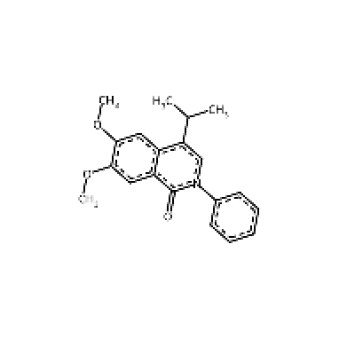 COc1cc2c(C(C)C)cn(-c3ccccc3)c(=O)c2cc1OC